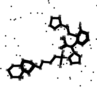 O=C(O)C(c1cccc(F)c1CO[C@H]1CCCO1)N1CCC[C@@H]1C(F)(F)CCCCc1ccc2c(n1)NCCC2